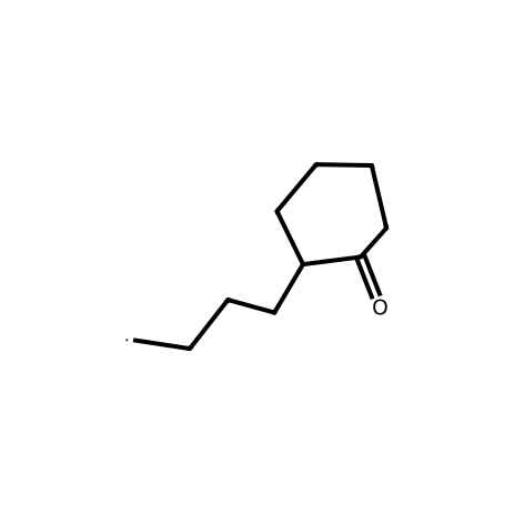 [CH2]CCCC1CCCCC1=O